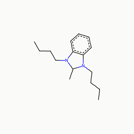 CCCCN1c2ccccc2N(CCCC)C1C